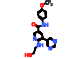 O=C(Nc1ccc(OC(F)(F)F)cc1)c1cnc(NCCO)c(-c2cncnc2)c1